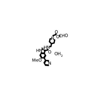 COc1cc2[nH]nc(C(=O)NCC3CCN(CC(=O)OC=O)CC3)c2cc1-c1cccnc1.O